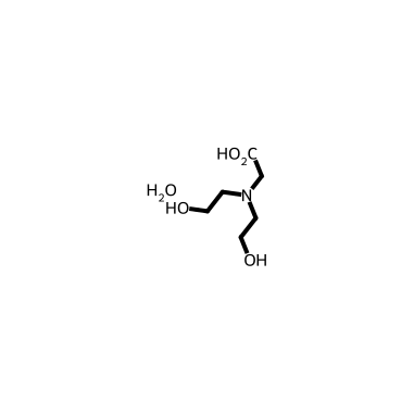 O.O=C(O)CN(CCO)CCO